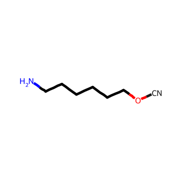 N#COCCCCCCN